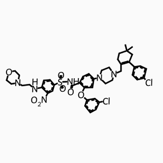 CC1(C)CCC(CN2CCN(c3ccc(C(=O)NS(=O)(=O)c4ccc(NCCN5CCOCC5)c([N+](=O)[O-])c4)c(Oc4cccc(Cl)c4)c3)CC2)=C(c2ccc(Cl)cc2)C1